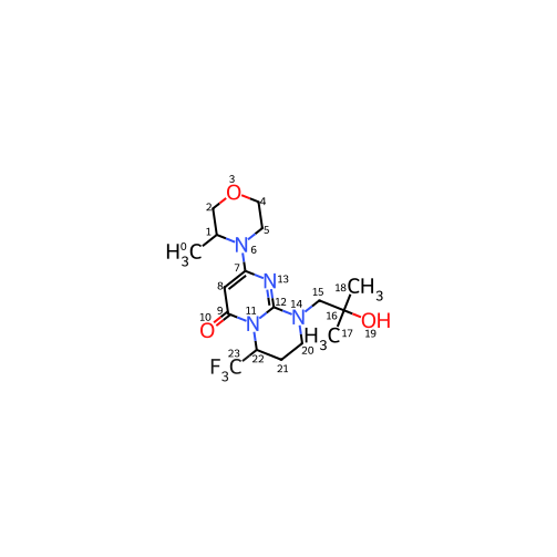 CC1COCCN1c1cc(=O)n2c(n1)N(CC(C)(C)O)CCC2C(F)(F)F